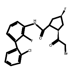 O=C(Nc1cccc(-c2ccccc2Cl)c1F)C1C[C@@H](F)C[C@H]1C(=O)CBr